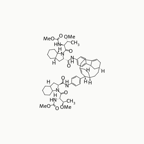 COC(=O)N[C@H](C(=O)N1[C@H](C(=O)Nc2ccc([C@@H]3C[C@H]4CC=C3CCC3=C[C@@H](c5ccc(NC(=O)[C@@H]6C[C@@H]7CCCC[C@@H]7N6C(=O)[C@@H](NC(=O)OC)[C@@H](C)OC)cc5)[C@H](CC3)CC4)cc2)C[C@@H]2CCCC[C@@H]21)[C@@H](C)OC